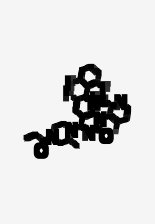 C=CC(=O)N1CCN(c2nc(=O)n(-c3c(C)ccnc3CC)c3nc(-c4c(F)cccc4F)c(F)cc23)C(C)C1